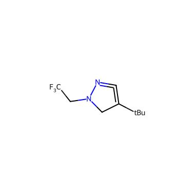 CC(C)(C)C1=C=NN(CC(F)(F)F)C1